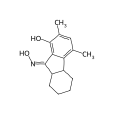 Cc1cc(C)c2c(c1O)C(=NO)C1CCCCC21